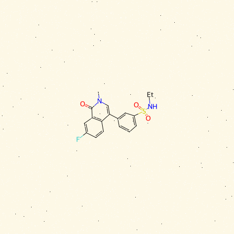 CCNS(=O)(=O)c1cccc(-c2cn(C)c(=O)c3cc(F)ccc23)c1